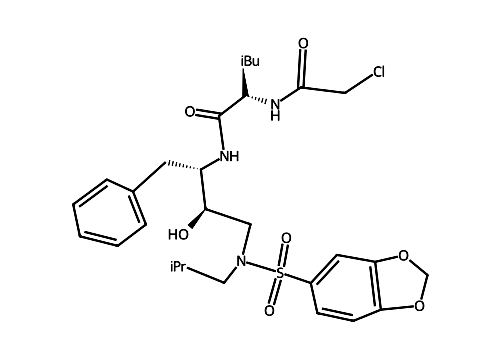 CC[C@H](C)[C@H](NC(=O)CCl)C(=O)N[C@@H](Cc1ccccc1)[C@H](O)CN(CC(C)C)S(=O)(=O)c1ccc2c(c1)OCO2